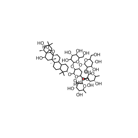 CC1O[C@@H](OC2[C@H](OC3[C@H](O[C@H]4C(O[C@@H]5OC(CO)[C@H](O)[C@@H](O)C5O)[C@H](O[C@H]5CC[C@@]6(C)C(CC[C@]7(C)C6CC[C@]68O[C@H](O)[C@]9(C6CC(C)(C)[C@@H](O)[C@@H]9C)[C@H](O)C[C@]87C)C5(C)C)OC(C(=O)O)[C@H]4O)OC(CO)[C@H](O)[C@H]3O)OC(C)[C@H](O)[C@@H]2O)C(O)[C@@H](O)[C@H]1O